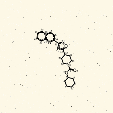 O=C(OC1CCCCC1)N1CCC(c2nc(-c3ccc4ccccc4n3)no2)CC1